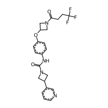 O=C(CCC(F)(F)F)N1CC(Oc2ccc(NC(=O)N3CC(c4cccnc4)C3)cc2)C1